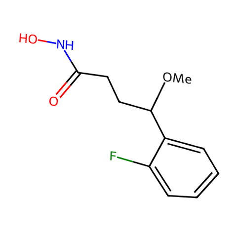 COC(CCC(=O)NO)c1ccccc1F